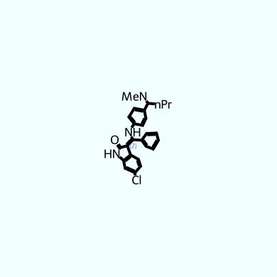 CCCC(NC)c1ccc(N/C(=C2\C(=O)Nc3cc(Cl)ccc32)c2ccccc2)cc1